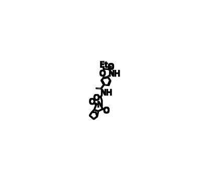 CCC1Oc2cc(C(C)NC(=O)CN3C(=O)C4C5CCC(C5)C4C3=O)ccc2NC1=O